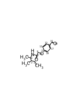 CCC(C)C(C)NC(=O)COc1ccc(C=O)cc1